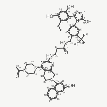 CCc1cc(-c2nnc(O)n2-c2ccc(CNC(=O)CCNc3nc4c(c(N5CCN(C(C)=O)CC5)n3)CCN(c3cc(O)cc5ccccc35)C4)c(C(F)(F)F)c2)c(O)cc1O